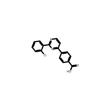 O=C(O)c1ccc(-c2ccnc(-c3ccccc3Cl)n2)cc1